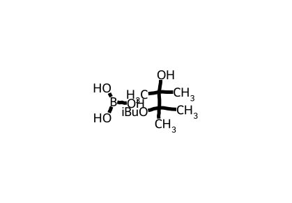 CC(C)COC(C)(C)C(C)(C)O.OB(O)O